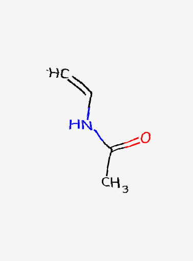 [CH]=CNC(C)=O